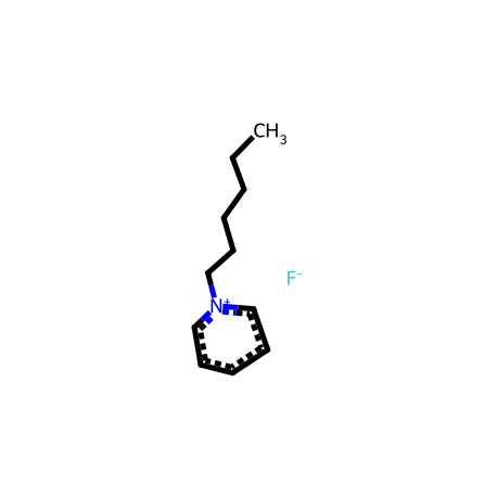 CCCCCC[n+]1ccccc1.[F-]